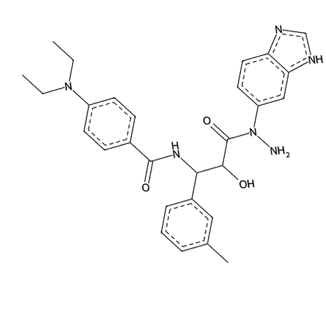 CCN(CC)c1ccc(C(=O)NC(c2cccc(C)c2)C(O)C(=O)N(N)c2ccc3nc[nH]c3c2)cc1